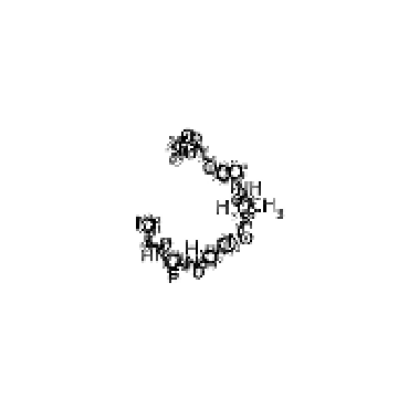 CC(C)(CC(=O)N/N=C1\CCCc2cc(OCCCC(=O)ON3C(=O)CCC3=O)ccc21)SSCCC(=O)N1CCN(c2ccc(C(=O)NCc3ccc(NC(=O)C4CC4c4cccnc4)cc3F)cc2)CC1